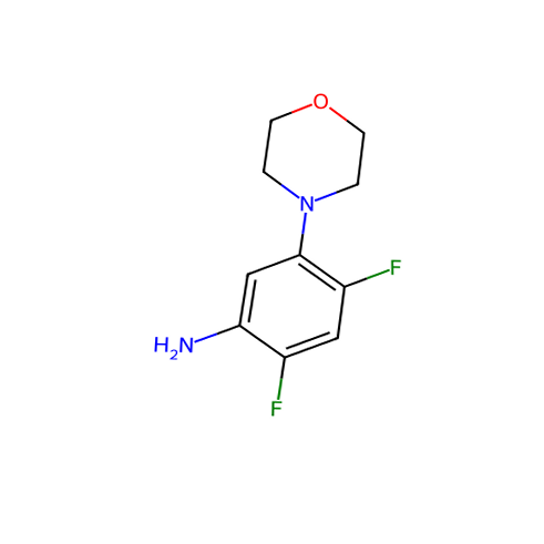 Nc1cc(N2CCOCC2)c(F)cc1F